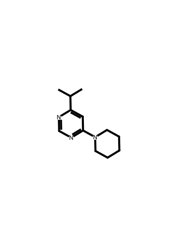 CC(C)c1cc(N2CCCCC2)ncn1